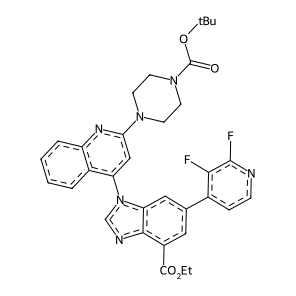 CCOC(=O)c1cc(-c2ccnc(F)c2F)cc2c1ncn2-c1cc(N2CCN(C(=O)OC(C)(C)C)CC2)nc2ccccc12